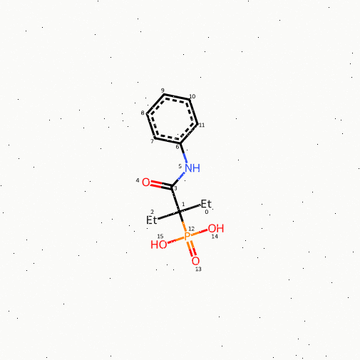 CCC(CC)(C(=O)Nc1ccccc1)P(=O)(O)O